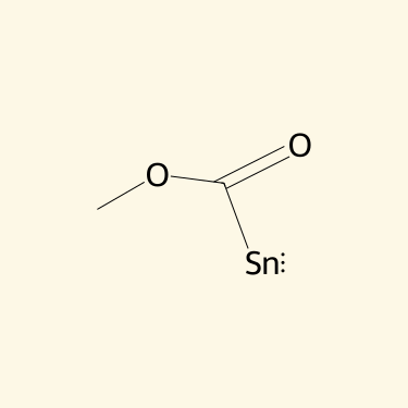 CO[C](=O)[Sn]